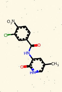 Cc1c[nH]c(=O)c(NC(=O)c2ccc([N+](=O)[O-])c(Cl)c2)c1